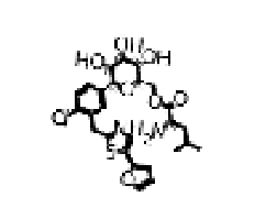 CC(C)C[C@H](N)C(=O)OC[C@H]1O[C@@H](c2ccc(Cl)c(Cc3ncc(-c4ccco4)s3)c2)[C@H](O)[C@@H](O)[C@@H]1O